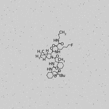 C=CCNC(=O)C(=O)C(CCCCF)NC(=O)[C@@H]1[C@@H]2[C@H](CN1C(=O)[C@@H](NC(=O)NC1(CS(=O)(=O)C(C)(C)C)CCCCC1)C1(C)CCCCC1)C2(C)C